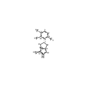 Fc1ccc(F)c([C@@H]2Cc3c[nH]c(=S)n3C2)c1F